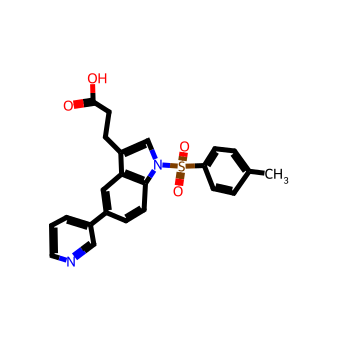 Cc1ccc(S(=O)(=O)n2cc(CCC(=O)O)c3cc(-c4cccnc4)ccc32)cc1